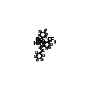 Cc1ccc(S(=O)(=O)NC(CCc2ccccc2)c2cccc(C(F)(F)F)c2)cc1